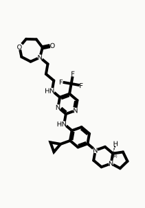 O=C1CCOCCN1CCCNc1nc(Nc2ccc(N3CCN4CCC[C@@H]4C3)cc2C2CC2)ncc1C(F)(F)F